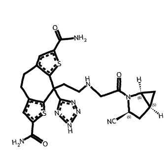 N#C[C@@H]1C[C@@H]2C[C@@H]2N1C(=O)CNCCC1(c2nn[nH]n2)c2sc(C(N)=O)cc2CCc2cc(C(N)=O)sc21